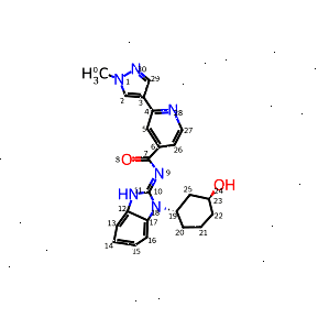 Cn1cc(-c2cc(C(=O)/N=c3\[nH]c4ccccc4n3[C@H]3CCC[C@H](O)C3)ccn2)cn1